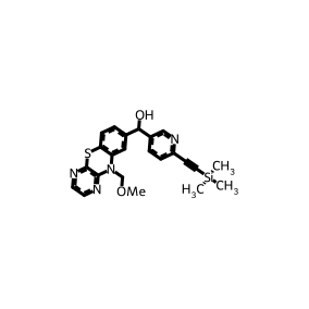 COCN1c2cc(C(O)c3ccc(C#C[Si](C)(C)C)nc3)ccc2Sc2nccnc21